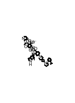 C=C(C)c1ccccc1[C@@H]1CCCN1C1CC2(CCN(c3ccc(C(=O)NS(=O)(=O)c4cc5c(c([N+](=O)[O-])c4)N[C@@H](Cc4ccccn4)CO5)c(Oc4cnc5[nH]ccc5c4)c3)CC2)C1